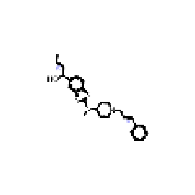 C/C=C/C(O)c1ccc2sc(N(C)C3CCN(C/C=C/c4ccccc4)CC3)nc2c1